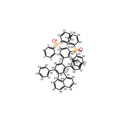 O=P(c1ccccc1)(c1ccccc1)c1cc(-c2cc(-c3ccccc3)c3c(c2-c2ccccc2)-c2cccc4cccc-3c24)cc(P(=O)(c2ccccc2)c2ccccc2)c1